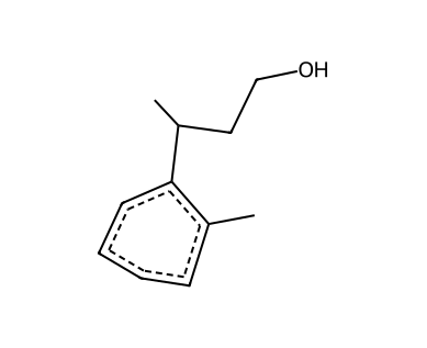 Cc1ccccc1C(C)CCO